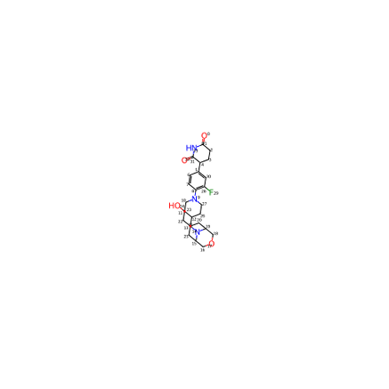 O=C1CCC(c2ccc(N3CCC(CN4C5COCC4CC(CCO)C5)CC3)c(F)c2)C(=O)N1